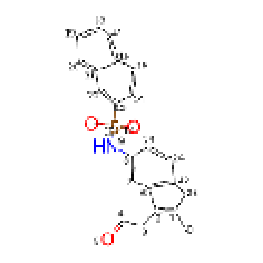 CC1=C(CC=O)c2cc(NS(=O)(=O)c3ccc4ccccc4c3)ccc2C1